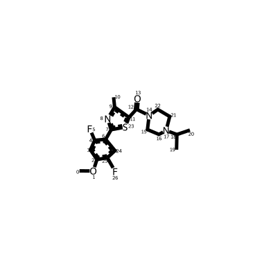 COc1cc(F)c(-c2nc(C)c(C(=O)N3CCN(C(C)C)CC3)s2)cc1F